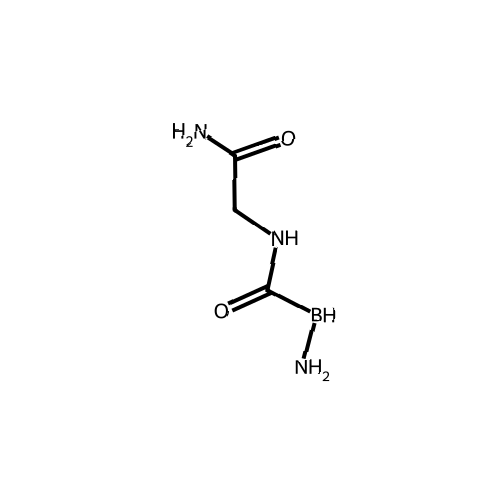 NBC(=O)NCC(N)=O